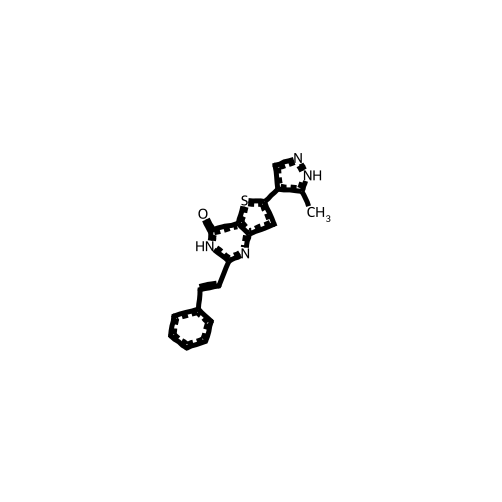 Cc1[nH]ncc1-c1cc2nc(C=Cc3ccccc3)[nH]c(=O)c2s1